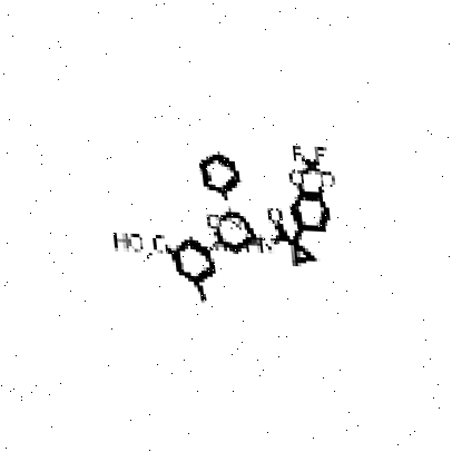 Cc1cc(C(=O)O)cc([C@H]2C[C@@H](NC(=O)C3(c4ccc5c(c4)OC(F)(F)O5)CC3)C[C@@H](c3ccccc3)O2)c1